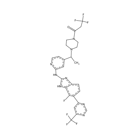 CC(c1ccnc(Nc2nc3ccc(-c4cc(C(F)(F)F)ncn4)c(F)c3[nH]2)c1)N1CCN(C(=O)CC(F)(F)F)CC1